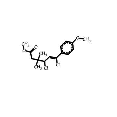 COC(=O)CC(C)(C)C(Cl)C=C(Cl)c1ccc(OC)cc1